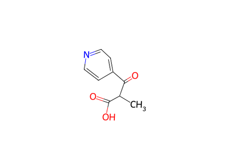 CC(C(=O)O)C(=O)c1ccncc1